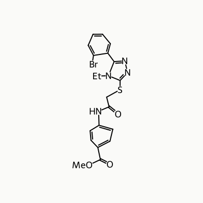 CCn1c(SCC(=O)Nc2ccc(C(=O)OC)cc2)nnc1-c1ccccc1Br